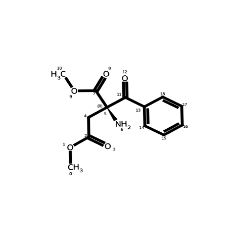 COC(=O)C[C@](N)(C(=O)OC)C(=O)c1ccccc1